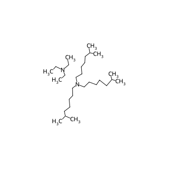 CC(C)CCCCCN(CCCCCC(C)C)CCCCCC(C)C.CCN(CC)CC